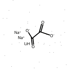 O=C([O-])C(=O)[O-].[LiH].[Na+].[Na+]